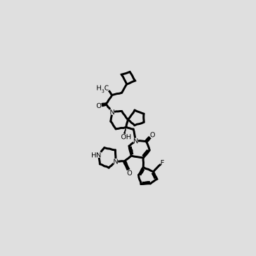 CC(CC1CCC1)C(=O)N1CC[C@@](O)(Cn2cc(C(=O)N3CCNCC3)c(-c3ccccc3F)cc2=O)C2(CCCC2)C1